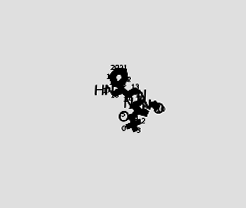 CC(C)(C)C(=O)c1cn(C=O)c2ncc(-c3c[nH]c4ccccc34)nc12